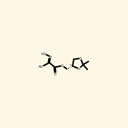 CC1(C)OC[C@@H](COC(=O)C(C#N)=NO)O1